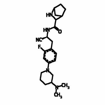 CN(C)C1CCCN(c2ccc(C[C@@H](C#N)NC(=O)C3NC4CCC3C4)c(F)c2)C1